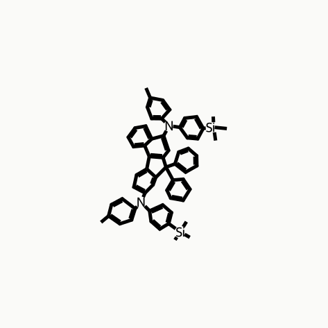 Cc1ccc(N(c2ccc([Si](C)(C)C)cc2)c2ccc3c(c2)C(c2ccccc2)(c2ccccc2)c2cc(N(c4ccc(C)cc4)c4ccc([Si](C)(C)C)cc4)c4ccccc4c2-3)cc1